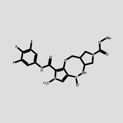 Cn1cc2c(c1C(=O)Nc1cc(F)c(F)c(F)c1)OCC1CN(C(=O)OC(C)(C)C)CC1N[S+]2[O-]